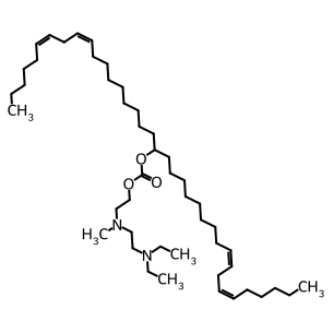 CCCCC/C=C\C/C=C\CCCCCCCCC(CCCCCCCC/C=C\C/C=C\CCCCC)OC(=O)OCCN(C)CCN(CC)CC